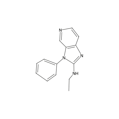 CCNc1nc2ccncc2n1-c1ccccc1